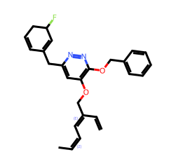 C=C/C(=C\C=C/C)COc1cc(CC2=CC(F)CC=C2)nnc1OCc1ccccc1